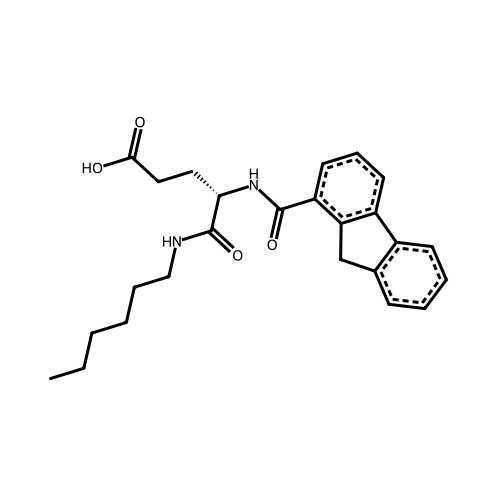 CCCCCCNC(=O)[C@H](CCC(=O)O)NC(=O)c1cccc2c1Cc1ccccc1-2